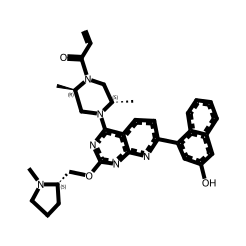 C=CC(=O)N1C[C@H](C)N(c2nc(OC[C@@H]3CCCN3C)nc3nc(-c4cc(O)cc5ccccc45)ccc23)C[C@H]1C